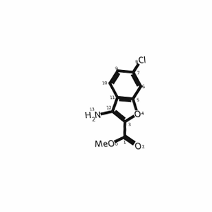 COC(=O)c1oc2cc(Cl)ccc2c1N